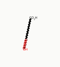 O=C(O)CCCCCCCCCCCCCCCCCCOOOOOOOOO